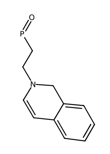 O=PCCN1C=Cc2ccccc2C1